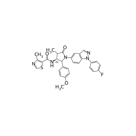 COc1ccc(C2[C@@H](NC(=O)c3scnc3C)C(C)C(=O)N2c2ccc3c(cnn3-c3ccc(F)cc3)c2)cc1